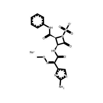 CON=C(C(=O)N[C@@H]1C(=O)N(S(=O)(=O)[O-])[C@@H]1C(=O)Nc1ccccc1)c1csc(N)n1.[Na+]